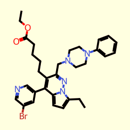 CCOC(=O)CCCCc1c(CN2CCN(c3ccccc3)CC2)nn2c(CC)ccc2c1-c1cncc(Br)c1